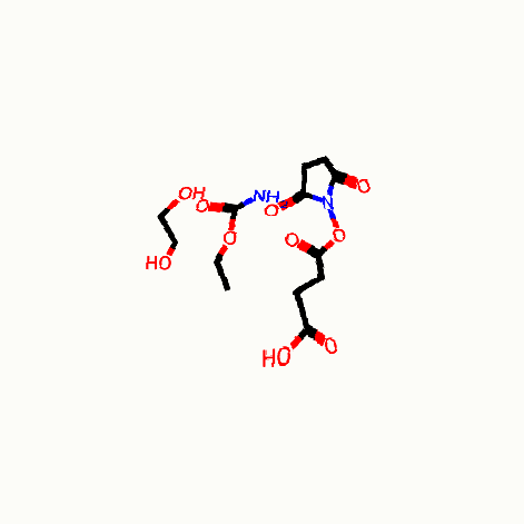 CCOC(N)=O.O=C(O)CCC(=O)ON1C(=O)CCC1=O.OCCO